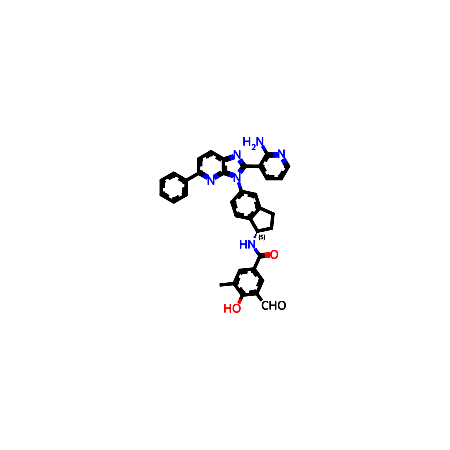 Cc1cc(C(=O)N[C@H]2CCc3cc(-n4c(-c5cccnc5N)nc5ccc(-c6ccccc6)nc54)ccc32)cc(C=O)c1O